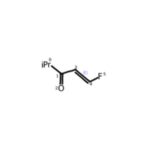 CC(C)C(=O)/C=C/F